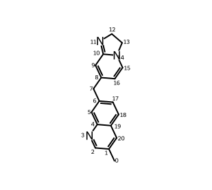 Cc1cnc2cc(CC3=CC4=NCCN4C=C3)ccc2c1